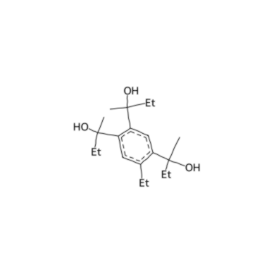 CCc1cc(C(C)(O)CC)c(C(C)(O)CC)cc1C(C)(O)CC